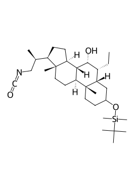 CC[C@H]1[C@@H](O)[C@@H]2[C@H](CC[C@]3(C)[C@@H]([C@H](C)CN=C=O)CC[C@@H]23)[C@@]2(C)CCC(O[Si](C)(C)C(C)(C)C)C[C@@H]12